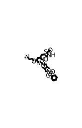 CN(C)CCOc1cc(C=C2SC(=O)NC2=O)nc(N2CC3CN(S(=O)(=O)c4ccccc4)CC3C2)n1